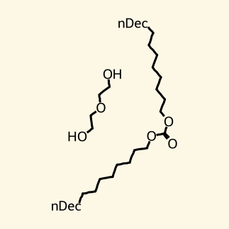 CCCCCCCCCCCCCCCCCCOC(=O)OCCCCCCCCCCCCCCCCCC.OCCOCCO